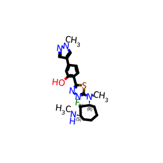 CN[C@H]1CCCC[C@@H](N(C)c2nnc(-c3ccc(-c4cnn(C)c4)cc3O)s2)[C@H]1F